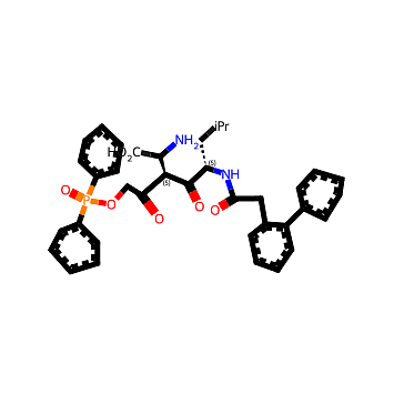 CC(C)C[C@H](NC(=O)Cc1ccccc1-c1ccccc1)C(=O)[C@@H](C(=O)COP(=O)(c1ccccc1)c1ccccc1)C(N)C(=O)O